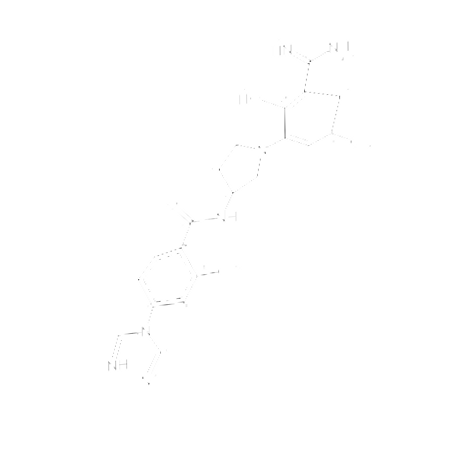 N=CN(C=N)c1ccc(C(=O)NC2CCN(C3=CC(Cl)CC(C(=N)N)=C3O)C2)c(Cl)c1